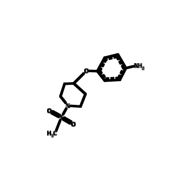 CS(=O)(=O)N1CCC(Oc2ccc(N)cc2)CC1